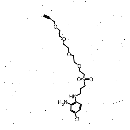 C#CCOCCOCCOCCOCCS(=O)(=O)CCCNc1ccc(Cl)cc1N